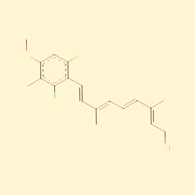 COc1cc(Cl)c(C=CC(C)=CC=CC(C)=CCO)c(Cl)c1C